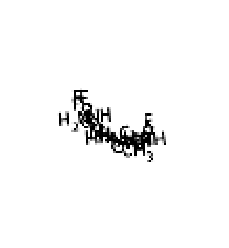 Cc1[nH]c(C=C2C(=O)Nc3ccc(F)cc32)c(C)c1C(=O)NCCNc1ccc(C(=O)Nc2ccc(C(F)(F)F)cc2N)cn1